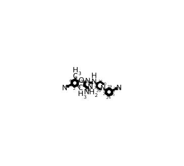 Cc1cc(C#N)cc(C)c1Oc1cc(N)nc(NC2CCN(c3cccc(C#N)c3)CC2)n1